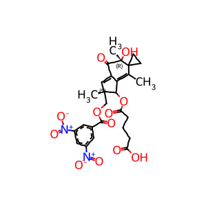 CC1=C2C(=C[C@@](C)(COC(=O)c3cc([N+](=O)[O-])cc([N+](=O)[O-])c3)C2OC(=O)CCCC(=O)O)C(=O)[C@](C)(O)C12CC2